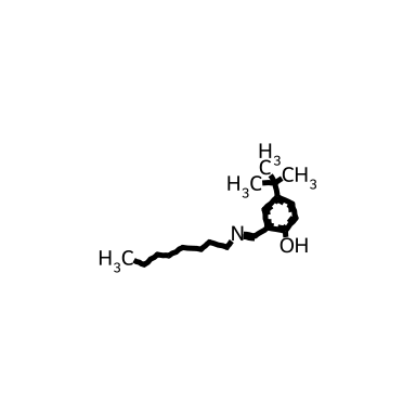 CCCCCCCCN=Cc1cc(C(C)(C)C)ccc1O